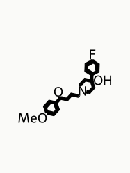 COc1ccc(C(=O)CCCN2CCC(O)(c3ccc(F)cc3)CC2)cc1